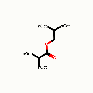 CCCCCCCCC(CCCCCCCC)COC(=O)C(CCCCCCCC)CCCCCCCC